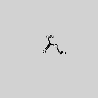 [CH2]CCCC(=O)OCCCC